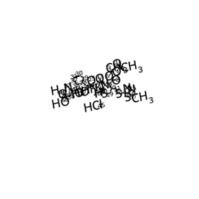 CC(=O)OC(C)OC(=O)C1=C(CSc2nnc(C)s2)CS[C@H]2C(NC(=O)C(O)c3ccccc3C(=O)[C@@H](N)CC(=O)O)C(=O)N12.Cl